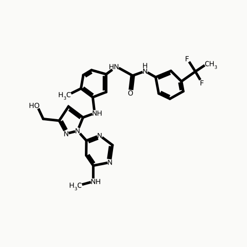 CNc1cc(-n2nc(CO)cc2Nc2cc(NC(=O)Nc3cccc(C(C)(F)F)c3)ccc2C)ncn1